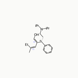 CC/C(C)=C\C(=C\O)[C@H](CCN(C(C)C)C(C)C)c1ccccc1